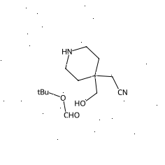 CC(C)(C)OC=O.N#CCC1(CO)CCNCC1